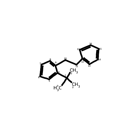 CC(C)(C)c1ccccc1[CH]Cc1ccccc1